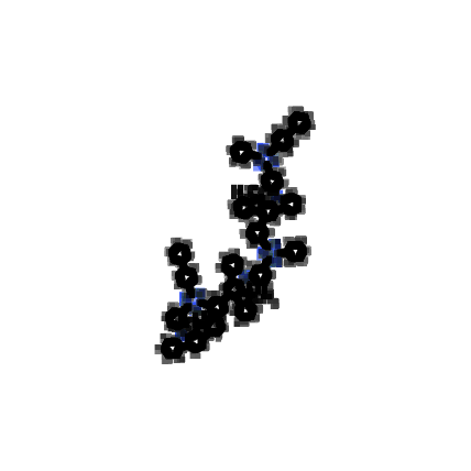 CC1(C)c2ccccc2-c2ccc3c4ccccc4n(-c4cccc(-c5nc(-c6ccc(-c7ccccc7)cc6)nc(-c6cccc(-c7cc8c9ccccc9n(-c9cccc(-c%10nc(-c%11ccccc%11)nc(-c%11cccc(-c%12cc%13c%14ccccc%14n(-c%14ccc(-c%15nc(-c%16ccccc%16)nc(-c%16ccc(-c%17ccccc%17)cc%16)n%15)cc%14)c%13c%13c%12-c%12ccccc%12C%13(C)C)c%11)n%10)c9)c8c8c7-c7ccccc7C8(C)C)c6)n5)c4)c3c21